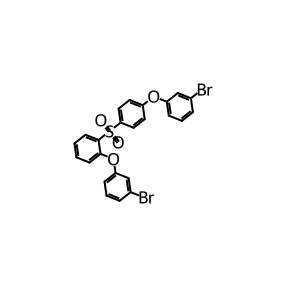 O=S(=O)(c1ccc(Oc2cccc(Br)c2)cc1)c1ccccc1Oc1cccc(Br)c1